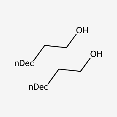 CCCCCCCCCCCCO.CCCCCCCCCCCCO